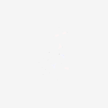 CCCC(=O)c1cnc2c(OCCS(C)(=O)=O)cccc2c1Nc1ccccc1CC